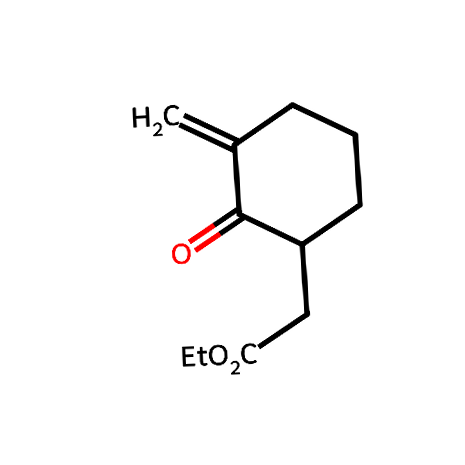 C=C1CCCC(CC(=O)OCC)C1=O